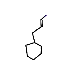 IC=CCC1CCCCC1